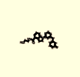 O=C(NCCO)c1cccc2c1CCN2c1cc(Cc2cccc(F)c2)ncn1